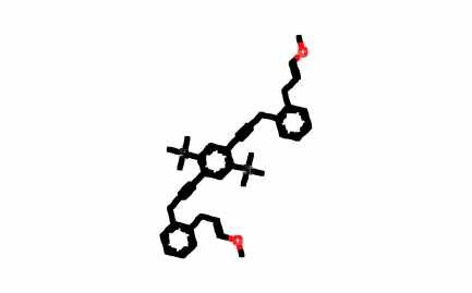 CO/C=C/Cc1ccccc1CC#Cc1cc([Si](C)(C)C)c(C#CCc2ccccc2C/C=C/OC)cc1[Si](C)(C)C